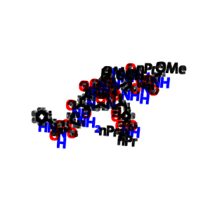 CCCC(=O)NCC(CNC(=O)C(CC1CC(S(=O)(=O)NC(CCC)CCC)C1=O)C(=O)NCC(CNC(=O)C(CC1CN(S(=O)(=O)NCCOC)C1=O)C(=O)NCC(CN)OC(=O)NS(=O)(=O)NCc1ccccc1)OC(=O)NS(=O)(=O)NCCN(C)C)OC(=O)NS(=O)(=O)NCCOC